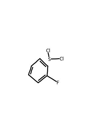 ClSCl.Fc1ccccc1